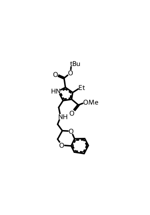 CCc1c(C(=O)OC(C)(C)C)[nH]c(CNCC2COc3ccccc3O2)c1C(=O)OC